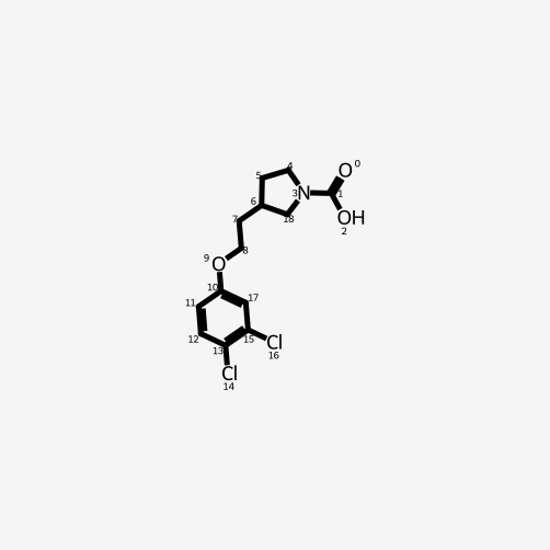 O=C(O)N1CCC(CCOc2ccc(Cl)c(Cl)c2)C1